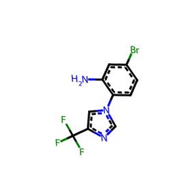 Nc1cc(Br)ccc1-n1cnc(C(F)(F)F)c1